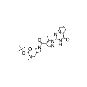 Cc1c(C(=O)N2CC(CN(C)C(=O)OC(C)(C)C)C2)cnn1-c1nn2cccc2c(=O)[nH]1